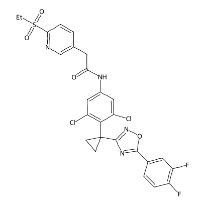 CCS(=O)(=O)c1ccc(CC(=O)Nc2cc(Cl)c(C3(c4noc(-c5ccc(F)c(F)c5)n4)CC3)c(Cl)c2)cn1